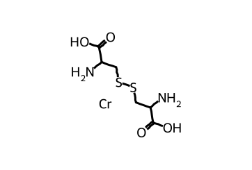 NC(CSSCC(N)C(=O)O)C(=O)O.[Cr]